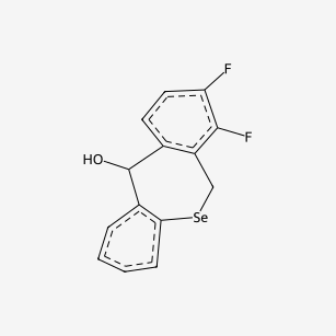 OC1c2ccccc2[Se]Cc2c1ccc(F)c2F